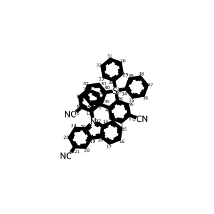 N#Cc1ccc(-c2cccc(C#N)c2-n2c3ccccc3c3cc(C#N)ccc32)c([Si](c2ccccc2)(c2ccccc2)c2ccccc2)c1